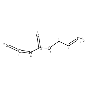 C=CCOC(=O)N=C=S